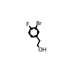 OC[CH]c1ccc(F)c(Br)c1